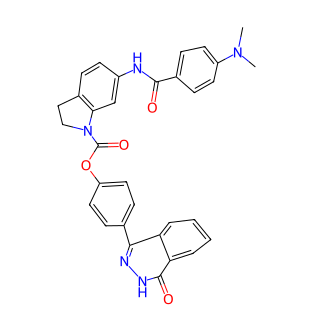 CN(C)c1ccc(C(=O)Nc2ccc3c(c2)N(C(=O)Oc2ccc(-c4n[nH]c(=O)c5ccccc45)cc2)CC3)cc1